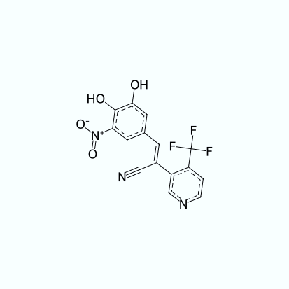 N#CC(=Cc1cc(O)c(O)c([N+](=O)[O-])c1)c1cnccc1C(F)(F)F